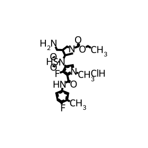 CCOC(=O)N1CC(CN)C(N(c2cn(C)c(C(=O)Nc3ccc(F)c(C)c3)c2F)[SH](=O)=O)C1.Cl